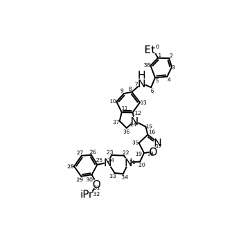 CCc1cccc(CNc2ccc3c(c2)N(CC2=NOC(CN4CCN(c5ccccc5OC(C)C)CC4)C2)CC3)c1